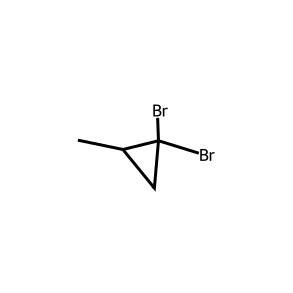 CC1CC1(Br)Br